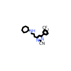 N#Cc1nc(CCCNC2CCCCCC2)cc(-c2cccc(C(F)(F)F)c2)n1